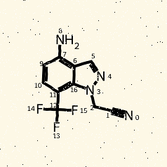 N#CCn1ncc2c(N)ccc(C(F)(F)F)c21